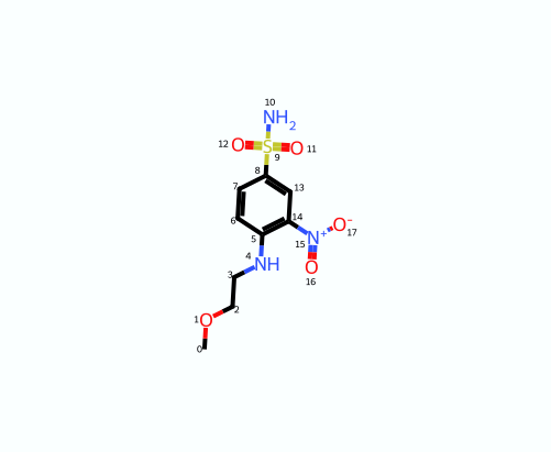 COCCNc1ccc(S(N)(=O)=O)cc1[N+](=O)[O-]